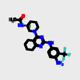 CC(=O)N[C@@H]1CCCN(c2nc(Nc3ccc(N)c(C(F)(F)F)c3)nc3c2CCCC3)C1